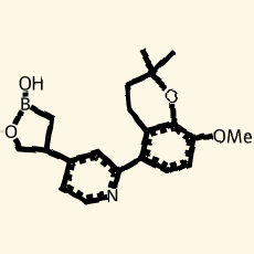 COc1ccc(-c2cc(C3COB(O)C3)ccn2)c2c1OC(C)(C)CC2